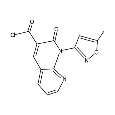 Cc1cc(-n2c(=O)c(C(=O)Cl)cc3cccnc32)no1